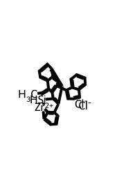 CC1=c2c3c4c(c5c6cccc2c6c5c3-c2cccc3ccccc23)-c2ccc[c]3[c]2[Zr+2]3[SiH]14.[Cl-].[Cl-]